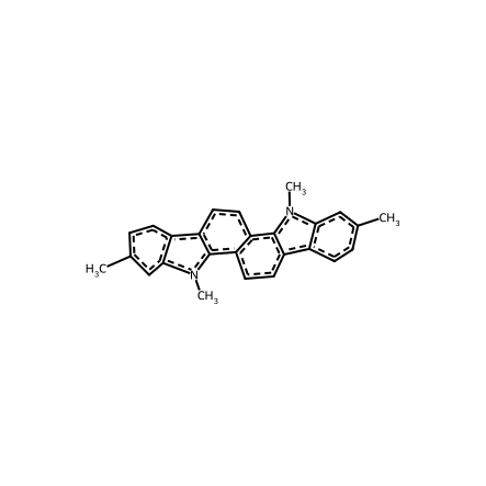 Cc1ccc2c3ccc4c(ccc5c6ccc(C)cc6n(C)c54)c3n(C)c2c1